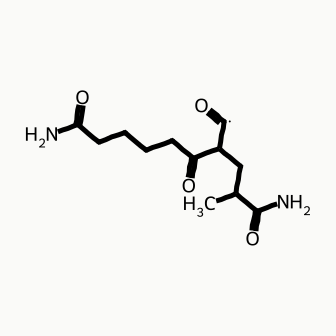 CC(CC([C]=O)C(=O)CCCCC(N)=O)C(N)=O